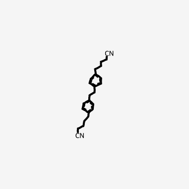 N#CCCCCc1ccc(CCc2ccc(CCCCC#N)cc2)cc1